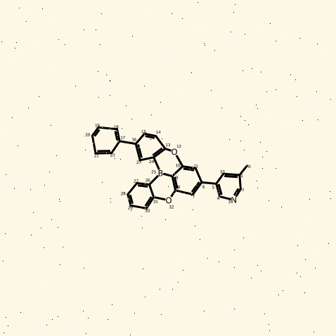 Cc1cncc(-c2cc3c4c(c2)Oc2ccc(-c5ccccc5)cc2B4c2ccccc2O3)c1